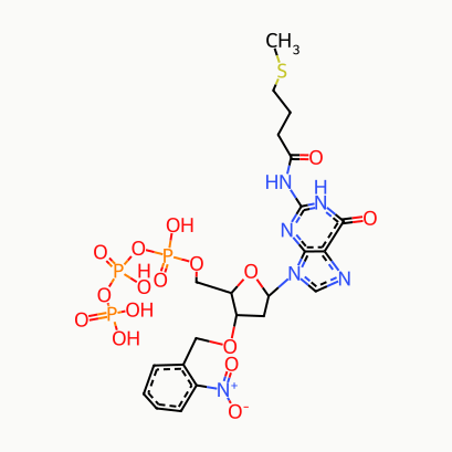 CSCCCC(=O)Nc1nc2c(ncn2C2CC(OCc3ccccc3[N+](=O)[O-])C(COP(=O)(O)OP(=O)(O)OP(=O)(O)O)O2)c(=O)[nH]1